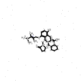 C/C(=C(/N)COc1ccc(Cl)c2c1[C@@H](CN1CCCC1=O)N(C(=O)[C@@H]1CCCC[C@@H]1C(=O)O)CC2)N(C)N